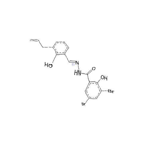 C=CCc1cccc(/C=N/NC(=O)c2cc(Br)cc(Br)c2O)c1O